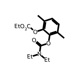 CCOC(=O)Oc1c(C)ccc(C)c1OC(=O)N(CC)CC